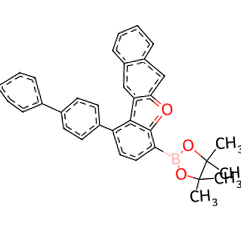 CC1(C)OB(c2ccc(-c3ccc(-c4ccccc4)cc3)c3c2oc2cc4ccccc4cc23)OC1(C)C